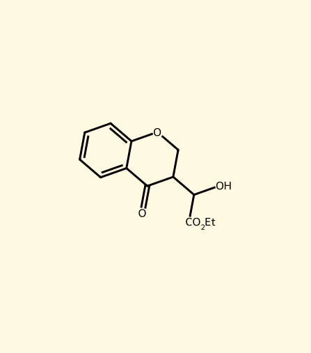 CCOC(=O)C(O)C1COc2ccccc2C1=O